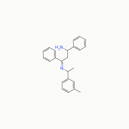 Cc1cccc(C(C)/N=C(\CC(N)c2ccccc2)c2ccccc2)c1